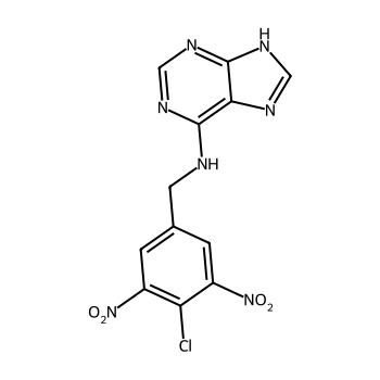 O=[N+]([O-])c1cc(CNc2ncnc3[nH]cnc23)cc([N+](=O)[O-])c1Cl